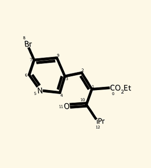 CCOC(=O)C(=Cc1cncc(Br)c1)C(=O)C(C)C